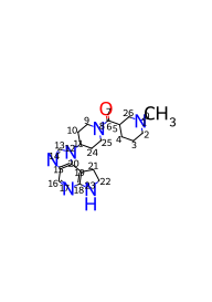 CN1CCCC(C(=O)N2CCC(n3cnc4cnc5c(c43)CCN5)CC2)C1